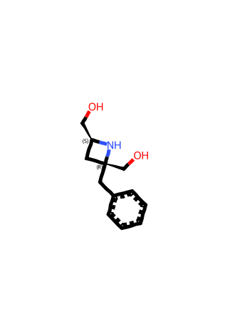 OC[C@@H]1C[C@@](CO)(Cc2ccccc2)N1